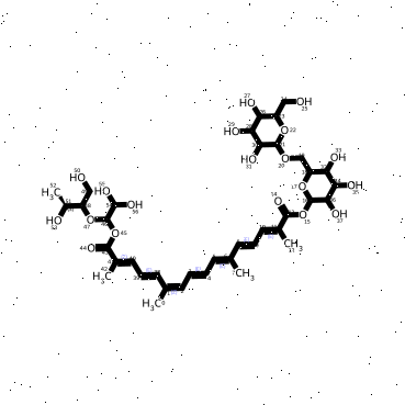 CC(=C/C=C/C=C(C)/C=C/C=C(\C)C(=O)OC1OC(COC2OC(CO)C(O)C(O)C2O)C(O)C(O)C1O)/C=C/C=C(\C)C(=O)OC(OC(CO)[C@H](C)O)C(O)O